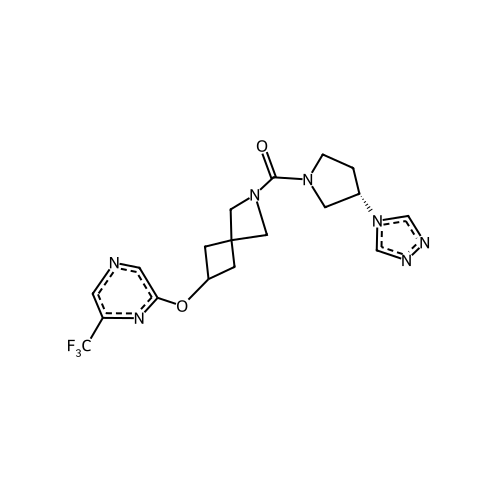 O=C(N1CC[C@H](n2cnnc2)C1)N1CC2(CC(Oc3cncc(C(F)(F)F)n3)C2)C1